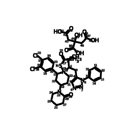 CCC(Cc1cnnn1-c1ccccc1)[N+]1(SC(C)=O)CCC(N2CCCCC2=O)CC1c1ccc(Cl)c(Cl)c1.O=C(O)CC(O)(CC(=O)O)C(=O)O